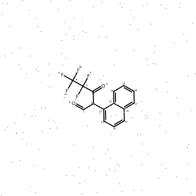 O=CC(C(=O)C(F)(F)C(F)(F)F)c1cccc2ccccc12